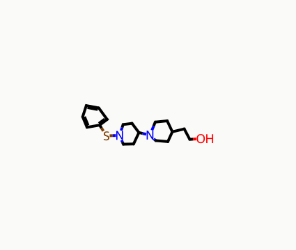 OCCC1CCN(C2CCN(Sc3ccccc3)CC2)CC1